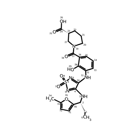 CC[C@@H](NC1=NS(=O)(=O)N=C1Nc1cccc(C(=O)N2CCC[C@@H](C(=O)O)C2)c1O)c1ccc(C)o1